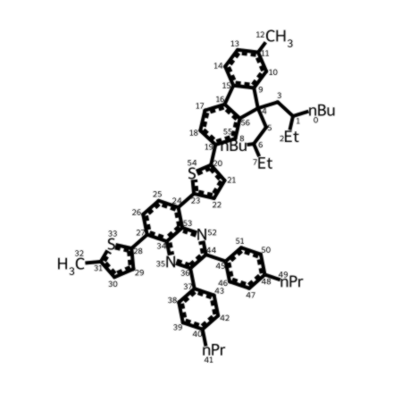 CCCCC(CC)CC1(CC(CC)CCCC)c2cc(C)ccc2-c2ccc(-c3ccc(-c4ccc(-c5ccc(C)s5)c5nc(-c6ccc(CCC)cc6)c(-c6ccc(CCC)cc6)nc45)s3)cc21